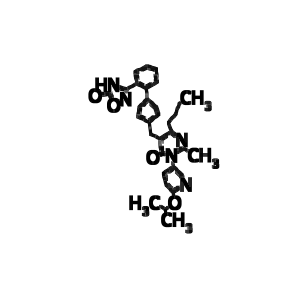 CCCCc1nc(C)n(-c2ccc(OC(C)C)nc2)c(=O)c1Cc1ccc(-c2ccccc2-c2noc(=O)[nH]2)cc1